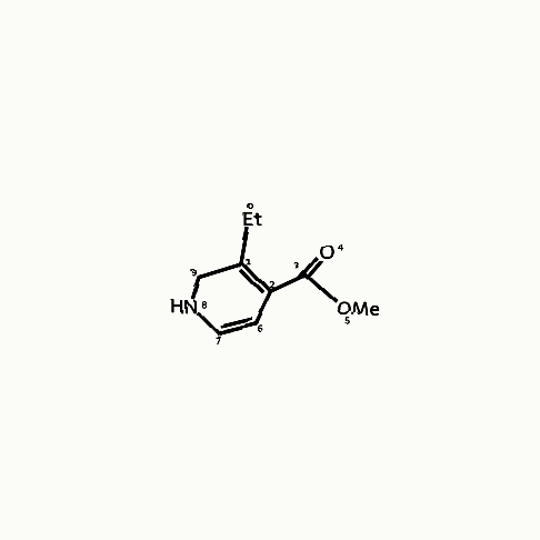 CCC1=C(C(=O)OC)C=CNC1